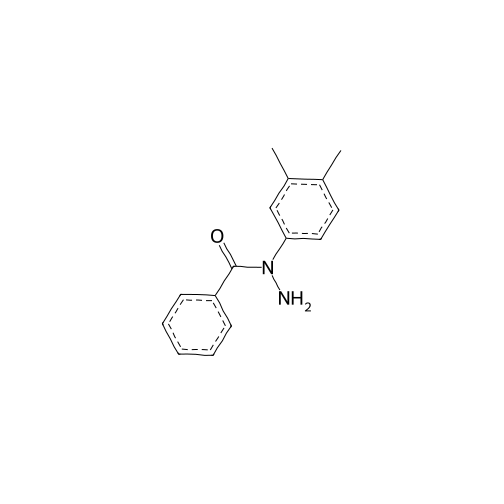 Cc1ccc(N(N)C(=O)c2ccccc2)cc1C